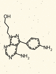 Nc1ccc(-c2nn(CCCO)c3ncnc(N)c23)cc1